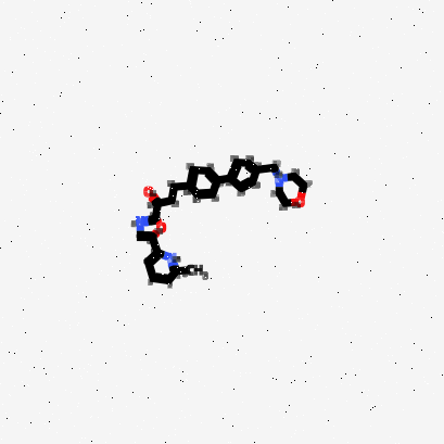 Cc1cccc(-c2cnc(C(=O)CCc3ccc(-c4ccc(CN5CCOCC5)cc4)cc3)o2)n1